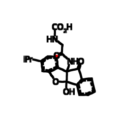 CC(C)c1ccc2c(c1)OC1(O)c3ccccc3C(=O)C21NC(=O)CNC(=O)O